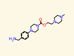 CN1CCN(CCOC(=O)N2CCN(c3ccc(CN)cc3)CC2)CC1